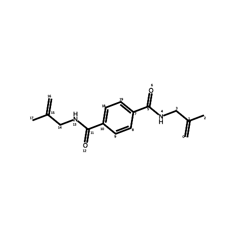 C=C(C)CNC(=O)c1ccc(C(=O)NCC(=C)C)cc1